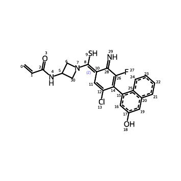 C=CC(=O)NC1CN(/C(S)=C2\C=C(Cl)C(c3cc(O)cc4ccccc34)=C(F)C2=N)C1